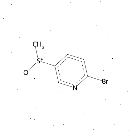 C[S+]([O-])c1ccc(Br)nc1